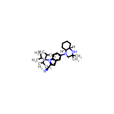 CC(C)[Si](C(C)C)(C(C)C)n1c(C#N)cc2cc(N3CC(C)(C)N[C@H]4CCCC[C@@H]43)ccc21